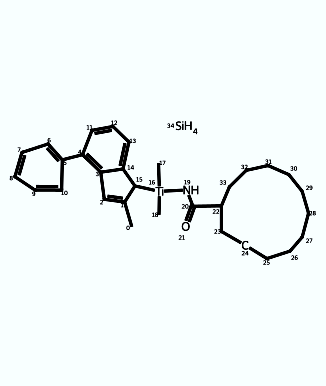 CC1=Cc2c(-c3ccccc3)cccc2[CH]1[Ti]([CH3])([CH3])[NH]C(=O)C1CCCCCCCCCCC1.[SiH4]